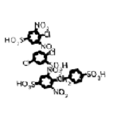 Nc1c([N+](=O)[O-])cc(S(=O)(=O)O)cc1[N+](=O)[O-].O=S(=O)(O)c1cc(Cl)ccc1Cl.O=S(=O)(O)c1ccc(Cl)cc1.O=[N+]([O-])c1cc(S(=O)(=O)O)cc([N+](=O)[O-])c1Cl